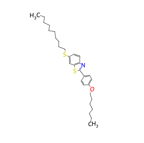 CCCCCCCCCCSc1ccc2nc(-c3ccc(OCCCCCCC)cc3)sc2c1